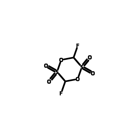 O=S1(=O)OC(F)S(=O)(=O)OC1F